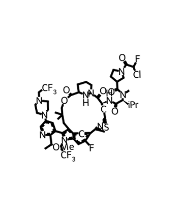 COC(C)c1ncc(N2CCN(CC(F)(F)F)CC2)cc1-c1c2c3cc(c(F)cc3n1CC(F)(F)F)-c1csc(n1)C[C@H](NC(=O)[C@H](C(C)C)N(C)C(=O)C1CCN(C(=O)C(F)Cl)C1)C(=O)N1CCCC(N1)C(=O)OCC(C)(C)C2